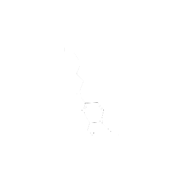 COC1N=C(OCCOC(F)(F)F)C=CN1[N+](=O)[O-]